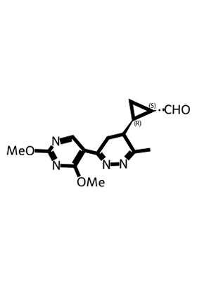 COc1ncc(C2=NN=C(C)C([C@H]3C[C@@H]3C=O)C2)c(OC)n1